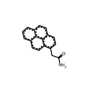 NC(=O)Cc1ccc2ccc3cccc4ccc1c2c34